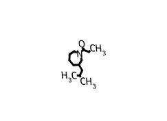 CCC(=O)N1CCCCC(CC(C)C)C1